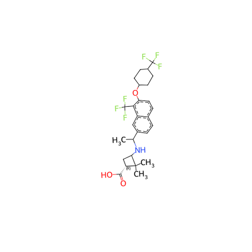 CC(NC1C[C@@H](C(=O)O)C1(C)C)c1ccc2ccc(OC3CCC(C(F)(F)F)CC3)c(C(F)(F)F)c2c1